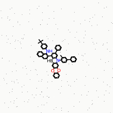 Cc1cc(-c2ccccc2)ccc1N1c2cc3c(cc2Bc2c(-c4ccc5ccccc5c4Nc4ccc(C(C)(C)C)cc4)cc(-c4ccccc4)cc21)Oc1ccccc1O3